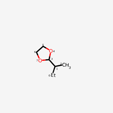 CCC(C)C1OCCO1